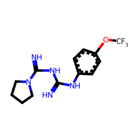 N=C(NC(=N)N1CCCC1)Nc1ccc(OC(F)(F)F)cc1